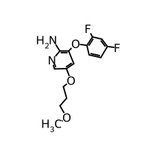 COCCCOc1cnc(N)c(Oc2ccc(F)cc2F)c1